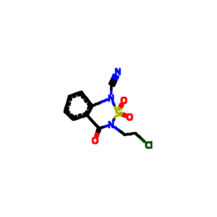 N#CN1c2ccccc2C(=O)N(CCCl)S1(=O)=O